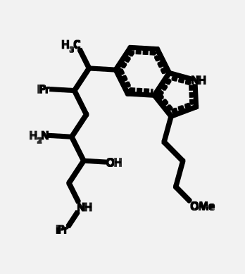 COCCCc1c[nH]c2ccc(C(C)C(CC(N)C(O)CNC(C)C)C(C)C)cc12